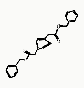 O=C(Cc1ccc(CC(=O)OCc2ccccc2)cc1)OCc1ccccc1